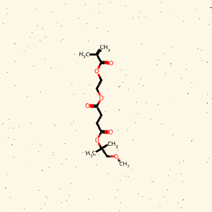 C=C(C)C(=O)OCCOC(=O)CCC(=O)OC(C)(C)COC